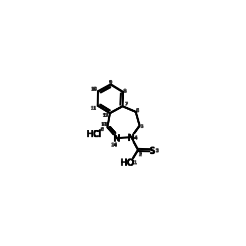 Cl.OC(=S)N1CCc2ccccc2C=N1